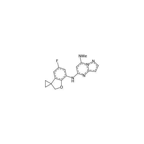 CNc1cc(Nc2cc(F)cc3c2OCC32CC2)nc2ccnn12